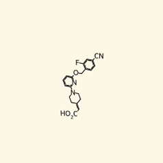 N#Cc1ccc(COc2cccc(N3CCC(=CC(=O)O)CC3)n2)c(F)c1